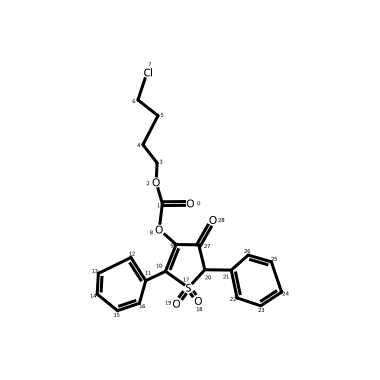 O=C(OCCCCCl)OC1=C(c2ccccc2)S(=O)(=O)C(c2ccccc2)C1=O